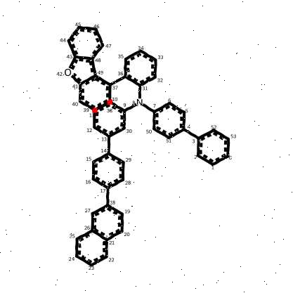 c1ccc(-c2ccc(N(c3cccc(-c4ccc(-c5ccc6ccccc6c5)cc4)c3)c3ccccc3-c3cccc4oc5ccccc5c34)cc2)cc1